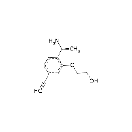 C#Cc1ccc([C@H](C)N)c(OCCO)c1